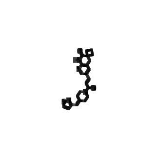 O=C(/C=C/c1cnc2c(c1)CC1(CCC1)C(=O)N2)N1CCC(=Cc2ccsn2)CC1